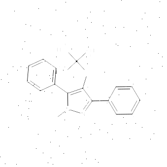 Cn1nc(-c2ccccc2)c(OC(C)(C)C)c1-c1ccccc1